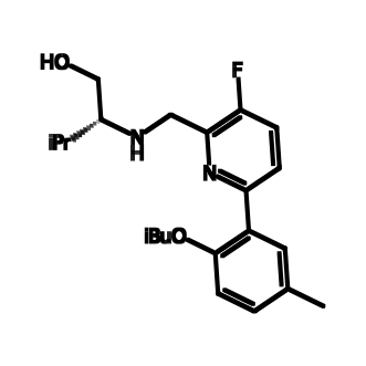 Cc1ccc(OCC(C)C)c(-c2ccc(F)c(CN[C@@H](CO)C(C)C)n2)c1